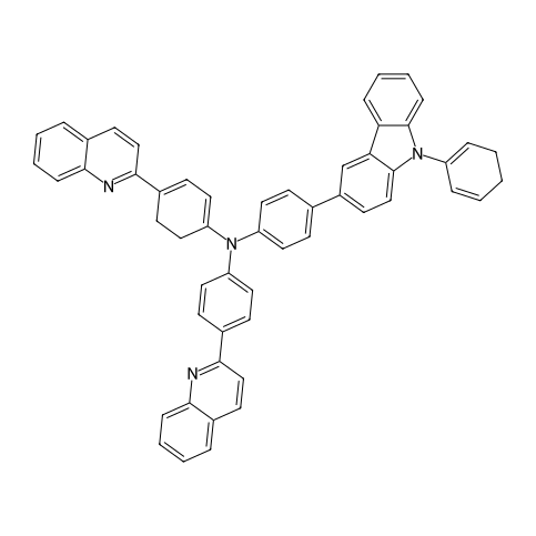 C1=CC(n2c3ccccc3c3cc(-c4ccc(N(C5=CC=C(c6ccc7ccccc7n6)CC5)c5ccc(-c6ccc7ccccc7n6)cc5)cc4)ccc32)=CCC1